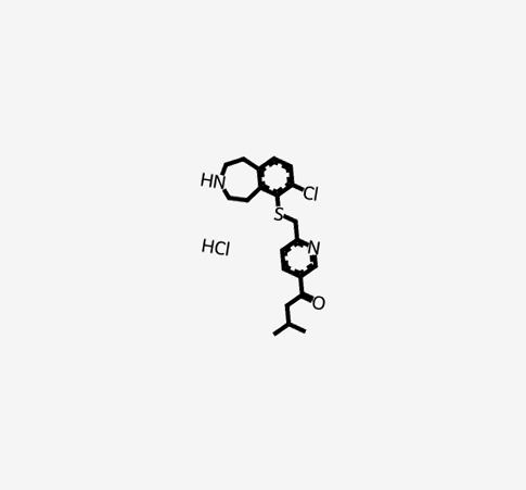 CC(C)CC(=O)c1ccc(CSc2c(Cl)ccc3c2CCNCC3)nc1.Cl